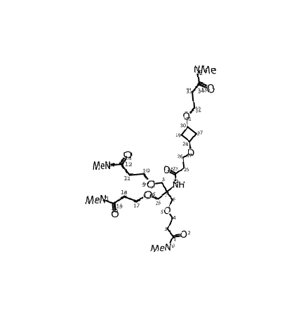 CNC(=O)CCOCC(COCCC(=O)NC)(COCCC(=O)NC)NC(=O)CCO[C@H]1C[C@H](OCCC(=O)NC)C1